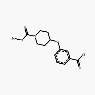 CC(C)(C)OC(=O)N1CCC(Oc2cccc(C(=O)Cl)c2)CC1